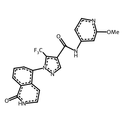 COc1cc(NC(=O)c2cnn(-c3cccc4c(=O)[nH]ccc34)c2C(F)(F)F)ccn1